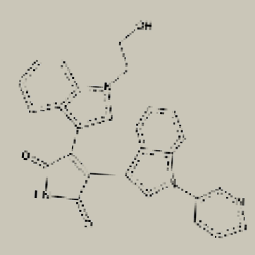 O=C1NC(=O)C(c2cn(-c3cccnc3)c3ccccc23)=C1c1cn(CCO)c2ccccc12